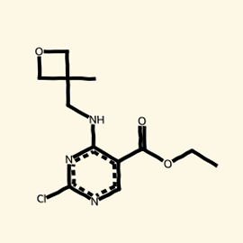 CCOC(=O)c1cnc(Cl)nc1NCC1(C)COC1